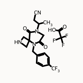 CC(CC#N)N1CC(=O)N(Cc2ccc(C(F)(F)F)cc2)C2(CNC2)C1=O.O=C(O)C(F)(F)F